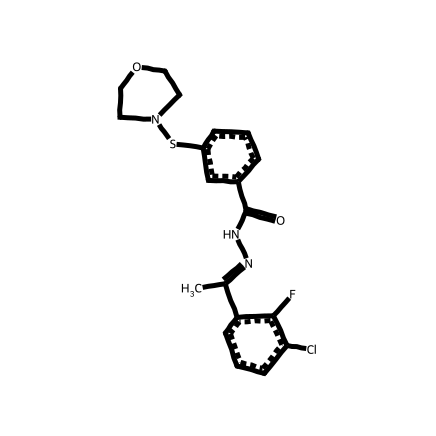 C/C(=N\NC(=O)c1cccc(SN2CCOCC2)c1)c1cccc(Cl)c1F